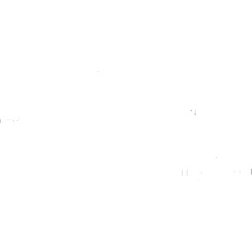 CCCCCCCc1ccc(-c2ccc(CCNC3CCC(C(=O)O)(C(=O)O)C3)cc2F)cc1